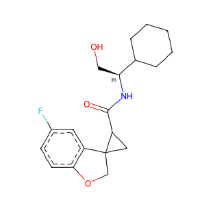 O=C(N[C@@H](CO)C1CCCCC1)C1CC12COc1ccc(F)cc12